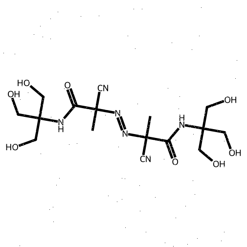 CC(C#N)(/N=N/C(C)(C#N)C(=O)NC(CO)(CO)CO)C(=O)NC(CO)(CO)CO